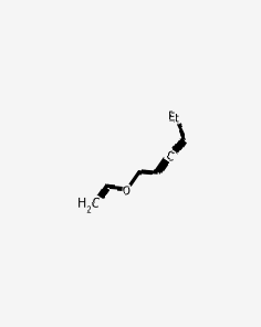 C=COCC=C=CCC